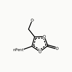 CCCCCc1oc(=O)oc1C[O]